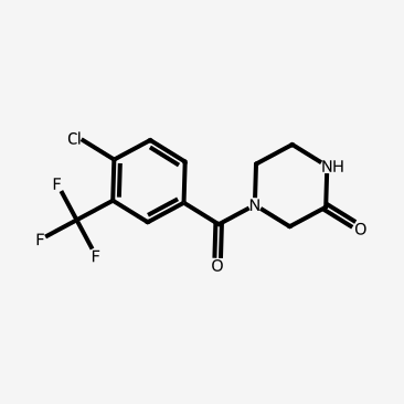 O=C1CN(C(=O)c2ccc(Cl)c(C(F)(F)F)c2)CCN1